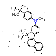 CN(c1ccc(C(C)(C)C)cc1)c1ccc2c(c1)C(C)(C)c1ccc3ccccc3c1-2